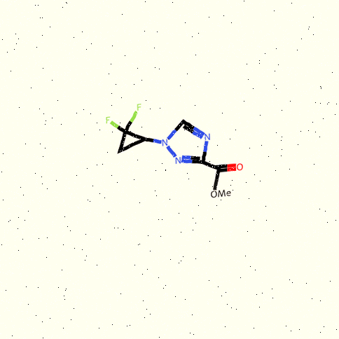 COC(=O)c1ncn(C2CC2(F)F)n1